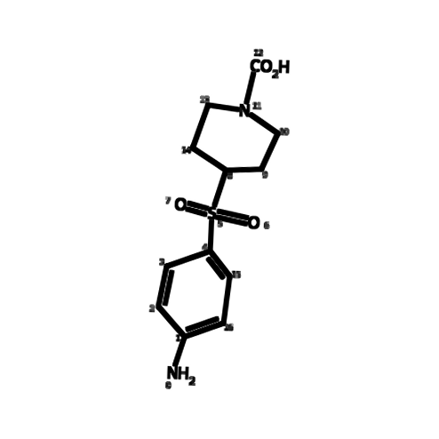 Nc1ccc(S(=O)(=O)C2CCN(C(=O)O)CC2)cc1